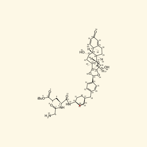 CC(C)COC(=O)CC[C@H](NC(=O)CN)C(=O)NC12CCC(Cc3ccc([C@@H]4O[C@@H]5C[C@H]6[C@@H]7CCC8=CC(=O)C=C[C@]8(C)[C@H]7[C@@H](O)C[C@]6(C)[C@]5(C(=O)CO)O4)cc3)(CC1)CC2